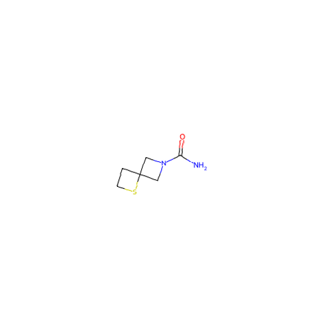 NC(=O)N1CC2(CCS2)C1